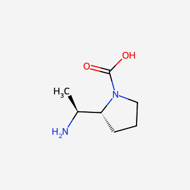 C[C@H](N)[C@H]1CCCN1C(=O)O